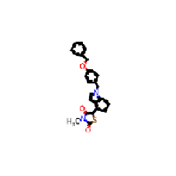 CN1C(=O)SC(c2cccc3c2ccn3Cc2ccc(OCc3ccccc3)cc2)C1=O